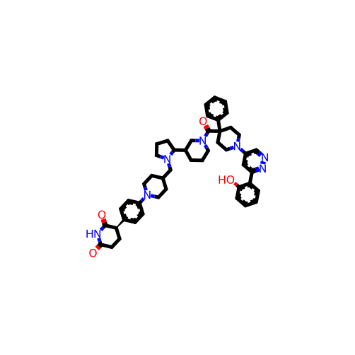 O=C1CC[C@H](c2ccc(N3CCC(CN4CCCC4C4CCCN(C(=O)C5(c6ccccc6)CCN(c6cnnc(-c7ccccc7O)c6)CC5)C4)CC3)cc2)C(=O)N1